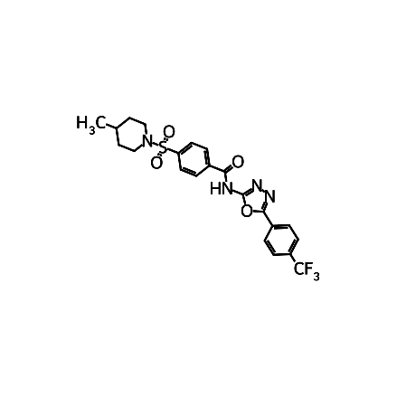 CC1CCN(S(=O)(=O)c2ccc(C(=O)Nc3nnc(-c4ccc(C(F)(F)F)cc4)o3)cc2)CC1